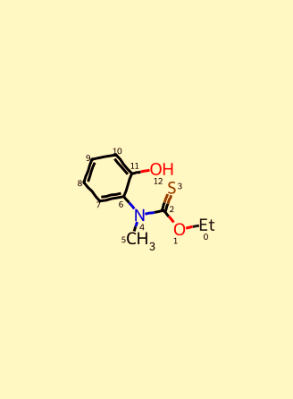 CCOC(=S)N(C)c1ccccc1O